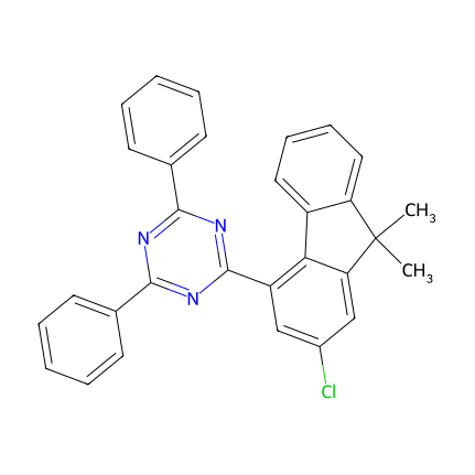 CC1(C)c2ccccc2-c2c(-c3nc(-c4ccccc4)nc(-c4ccccc4)n3)cc(Cl)cc21